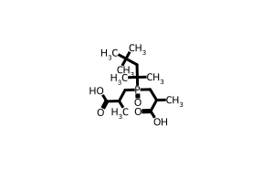 CC(CP(=O)(CC(C)C(=O)O)C(C)(C)CC(C)(C)C)C(=O)O